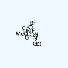 COC(=O)c1cc2c(ncn2CCS(C)(=O)=O)c(F)c1Nc1ccc(Br)cc1Cl